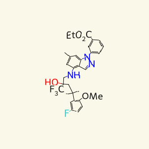 CCOC(=O)c1cccc(-n2ncc3c(NCC(O)(CC(C)(C)c4cc(F)ccc4OC)C(F)(F)F)cc(C)cc32)c1